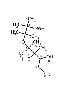 COC(C)(C)C(C)(C)OC(C)(C)C(C)(C)C(O)CN